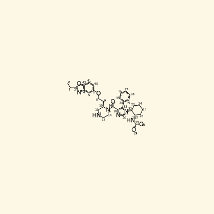 CCc1nc2cc(OCC[C@@H]3CNCCN3C(=O)c3ncn([C@H]4CCCC[C@@H]4NC(=O)OC)c3-c3ccccc3)ccc2o1